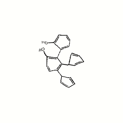 Oc1ccccc1-c1c(O)ccc(C2C=CC=C2)c1C1C=CC=C1